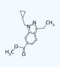 CCc1nn(CC2CC2)c2cc(C(=O)OC)ccc12